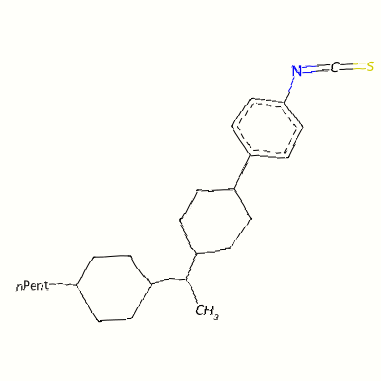 CCCCCC1CCC(C(C)C2CCC(c3ccc(N=C=S)cc3)CC2)CC1